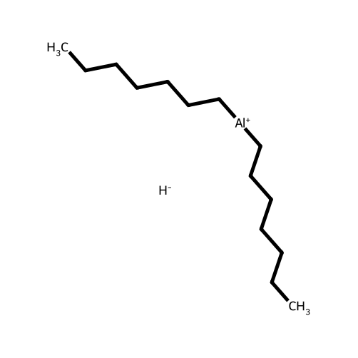 CCCCCC[CH2][Al+][CH2]CCCCCC.[H-]